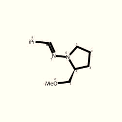 COC[C@@H]1CCCN1/N=C/C(C)C